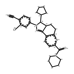 N#Cc1ccc(N2N=C3c4ccc(C(=O)N5CCCCC5)nc4CCC3C2C2CCCC2)cc1Cl